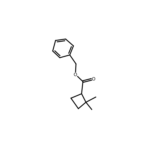 CC1(C)CCC1C(=O)OCc1ccccc1